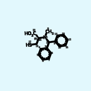 CN(C(c1ccccc1)c1ccccc1)[C@@H](CS)C(=O)O